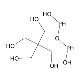 OCC(CO)(CO)CO.OPOPO